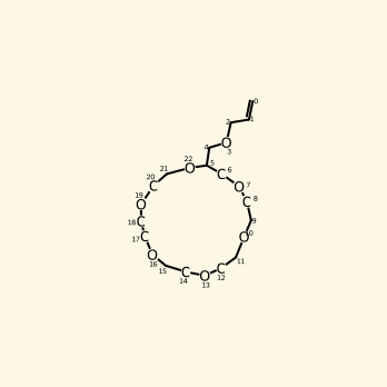 C=CCOCC1COCCOCCOCCOCCOCCO1